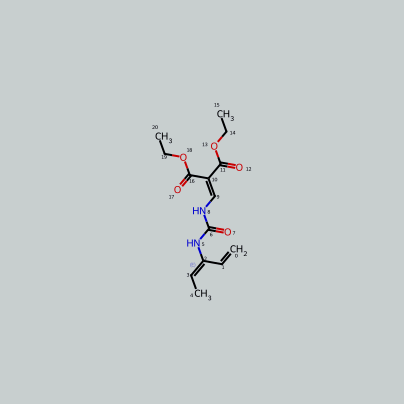 C=C/C(=C\C)NC(=O)NC=C(C(=O)OCC)C(=O)OCC